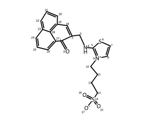 O=C1C(CNc2scc[n+]2CCCCS(=O)(=O)[O-])=Cc2cccc3cccc1c23